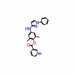 Cc1cc(Nc2ccn(-c3ccccc3)n2)cc(C)c1OC(=O)c1ccc[n+](C)c1